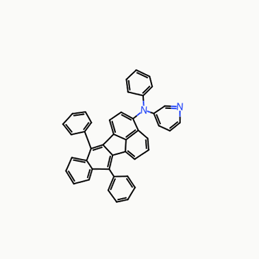 c1ccc(-c2c3c(c(-c4ccccc4)c4ccccc24)-c2ccc(N(c4ccccc4)c4cccnc4)c4cccc-3c24)cc1